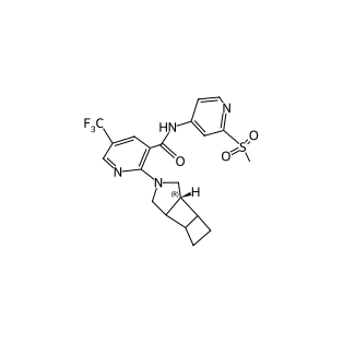 CS(=O)(=O)c1cc(NC(=O)c2cc(C(F)(F)F)cnc2N2CC3C4CCC4[C@H]3C2)ccn1